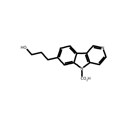 O=C(O)n1c2ccncc2c2ccc(CCCO)cc21